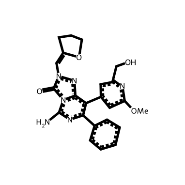 COc1cc(-c2c(-c3ccccc3)nc(N)n3c(=O)n(C=C4CCCO4)nc23)cc(CO)n1